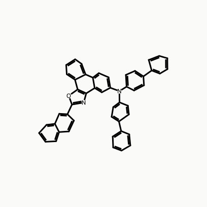 c1ccc(-c2ccc(N(c3ccc(-c4ccccc4)cc3)c3ccc4c5ccccc5c5oc(-c6ccc7ccccc7c6)nc5c4c3)cc2)cc1